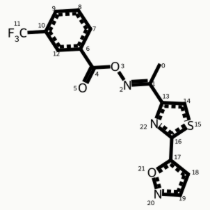 C/C(=N\OC(=O)c1cccc(C(F)(F)F)c1)c1csc(-c2ccno2)n1